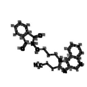 CCCc1nc2cnc3ccccc3c2n1CCCON1C(=O)c2ccccc2C1=O